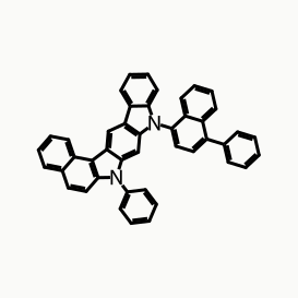 c1ccc(-c2ccc(-n3c4ccccc4c4cc5c6c7ccccc7ccc6n(-c6ccccc6)c5cc43)c3ccccc23)cc1